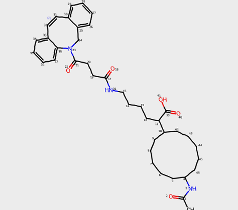 CC(=O)NC1CCCCCC(C(CCCCNC(=O)CCC(=O)N2Cc3ccccc3/C=C\c3ccccc32)C(=O)O)CCCCC1